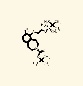 Cc1ccc2c(c1SCCO[Si](C)(C)C(C)(C)C)CCN(C(=O)OC(C)(C)C)CC2